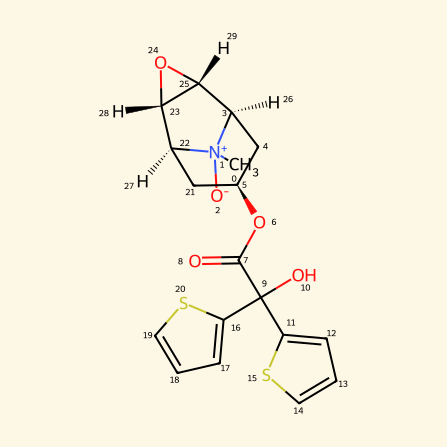 C[N+]1([O-])[C@@H]2C[C@@H](OC(=O)C(O)(c3cccs3)c3cccs3)C[C@H]1[C@@H]1O[C@@H]12